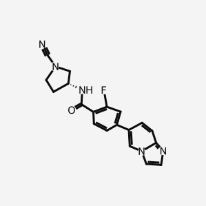 N#CN1CC[C@@H](NC(=O)c2ccc(-c3ccc4nccn4c3)cc2F)C1